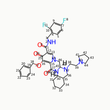 O=C(NCc1ccc(F)cc1F)c1cn2c(c(OCc3ccccc3)c1=O)C(=O)N1[C@H]3CCCCC3CN(CCN3CCCC3)[C@@H]1C2